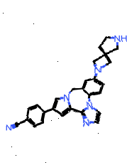 N#Cc1ccc(-c2cc3n(c2)Cc2cc(N4CC5(CCNC5)C4)ccc2-n2ccnc2-3)cc1